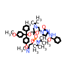 COc1ccc(C(OC[C@@]2(COP(OCCC#N)N(C(C)C)C(C)C)CN(C(C)C)C[C@H](n3ccc(NC(=O)c4ccccc4)nc3=O)O2)(c2ccccc2)c2ccc(OC)cc2)cc1